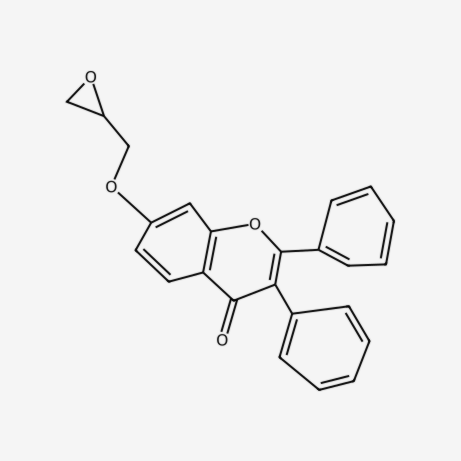 O=c1c(-c2ccccc2)c(-c2ccccc2)oc2cc(OCC3CO3)ccc12